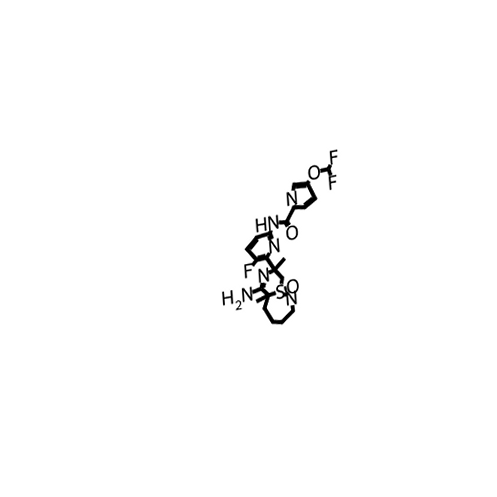 CC1(c2nc(NC(=O)c3ccc(OC(F)F)cn3)ccc2F)CS2(=O)=NCCCCC2(C)C(N)=N1